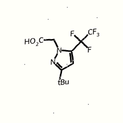 CC(C)(C)c1cc(C(F)(F)C(F)(F)F)n(CC(=O)O)n1